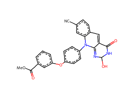 COC(=O)c1cccc(Oc2ccc(N3C4=NC(O)NC(=O)C4=Cc4ccc(C#N)cc43)cc2)c1